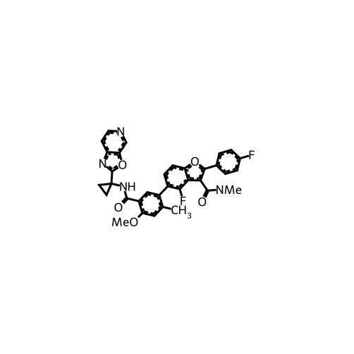 CNC(=O)c1c(-c2ccc(F)cc2)oc2ccc(-c3cc(C(=O)NC4(c5nc6ccncc6o5)CC4)c(OC)cc3C)c(F)c12